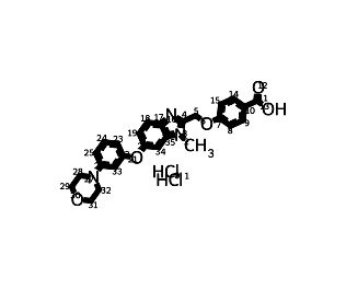 Cl.Cl.Cn1c(COc2ccc(C(=O)O)cc2)nc2ccc(Oc3cccc(N4CCOCC4)c3)cc21